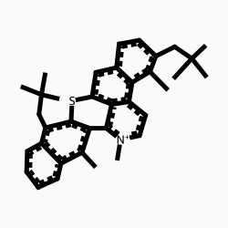 Cc1c2c(c(CC(C)(C)C)c3ccccc13)Sc1cc3ccc(CC(C)(C)C)c(C)c3c3cc[n+](C)c-2c13